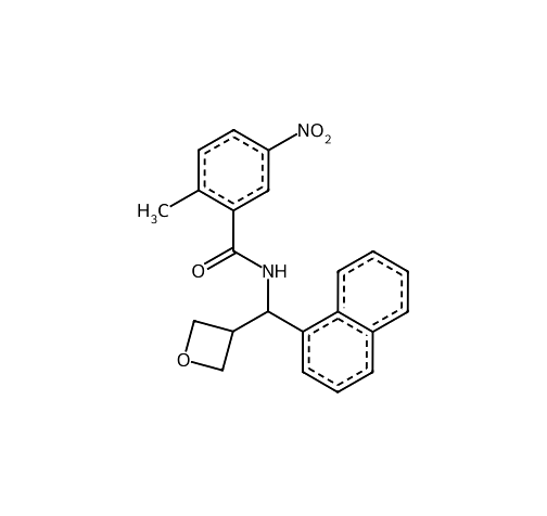 Cc1ccc([N+](=O)[O-])cc1C(=O)NC(c1cccc2ccccc12)C1COC1